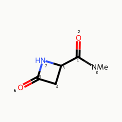 CNC(=O)C1CC(=O)N1